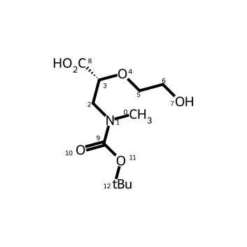 CN(C[C@@H](OCCO)C(=O)O)C(=O)OC(C)(C)C